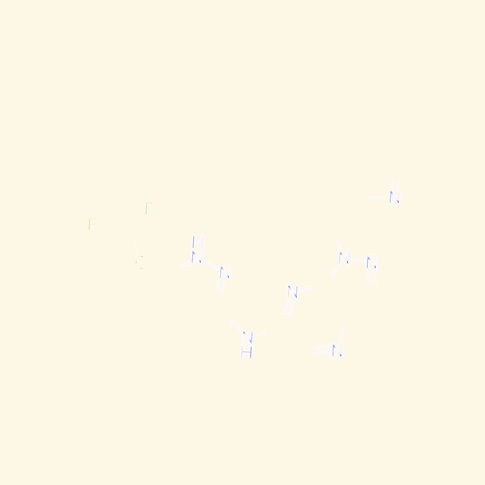 FC(F)Oc1cc(Nc2cnc3cnn(Cc4cscn4)c3n2)n[nH]1